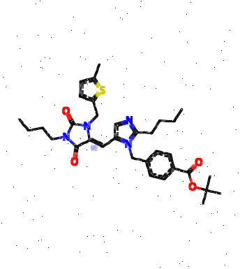 CCCCc1ncc(/C=C2/C(=O)N(CCCC)C(=O)N2Cc2ccc(C)s2)n1Cc1ccc(C(=O)OC(C)(C)C)cc1